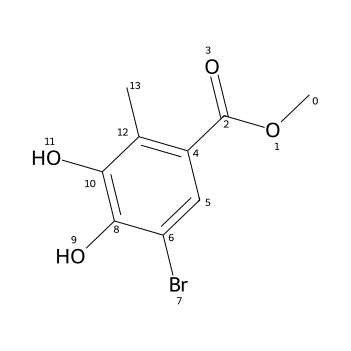 COC(=O)c1cc(Br)c(O)c(O)c1C